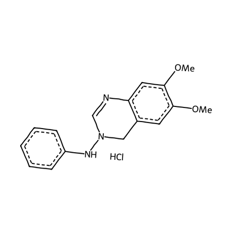 COc1cc2c(cc1OC)N=CN(Nc1ccccc1)C2.Cl